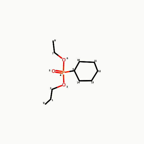 CCCOP(=O)(OCC)C1CCCCC1